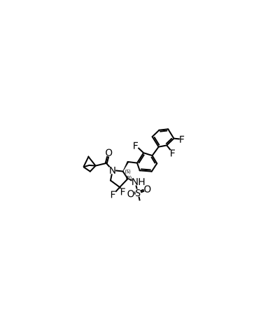 CS(=O)(=O)N[C@@H]1[C@H](Cc2cccc(-c3cccc(F)c3F)c2F)N(C(=O)C23CC(C2)C3)CC1(F)F